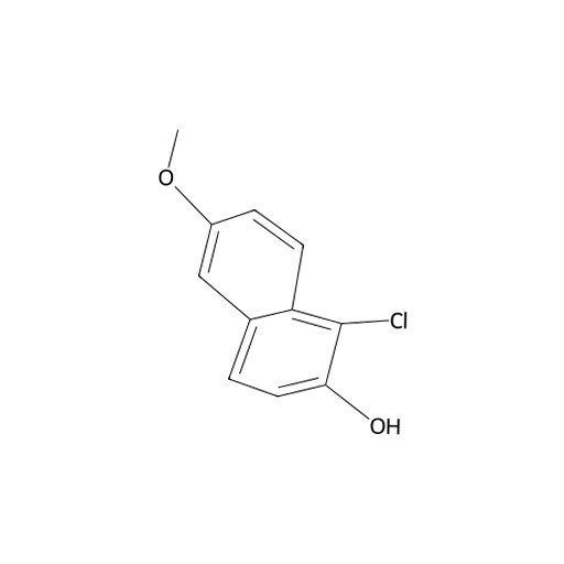 COc1ccc2c(Cl)c(O)ccc2c1